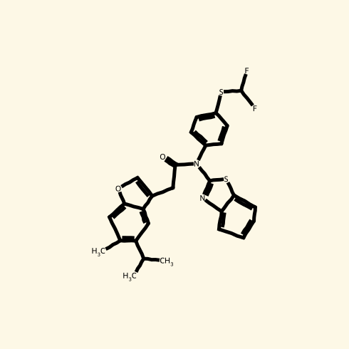 Cc1cc2occ(CC(=O)N(c3ccc(SC(F)F)cc3)c3nc4ccccc4s3)c2cc1C(C)C